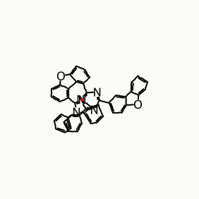 c1ccc(-c2nc(-c3ccc4oc5ccccc5c4c3)nc(-c3cccc4oc5cccc(-c6nc7ccccc7n6-c6ccccc6)c5c34)n2)cc1